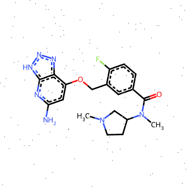 CN1CCC(N(C)C(=O)c2ccc(F)c(COc3cc(N)nc4[nH]nnc34)c2)C1